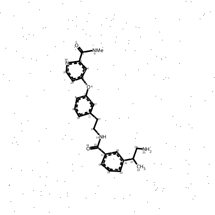 CNC(=O)c1cc(Oc2cccc(CCNC(=O)c3cccc(C(C)CN)c3)c2)ccn1